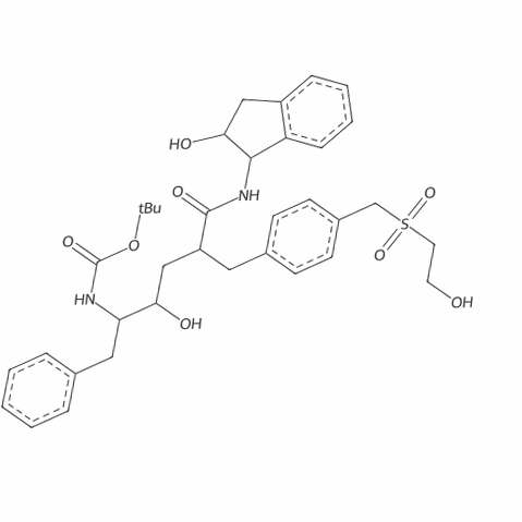 CC(C)(C)OC(=O)NC(Cc1ccccc1)C(O)CC(Cc1ccc(CS(=O)(=O)CCO)cc1)C(=O)NC1c2ccccc2CC1O